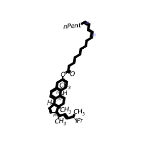 CCCCC/C=C\C/C=C\CCCCCCCC(=O)O[C@H]1CC[C@]2(C)C(=CC=C3[C@@H]4CC[C@H]([C@H](C)C=C[C@H](C)C(C)C)[C@@]4(C)CC[C@@H]32)C1